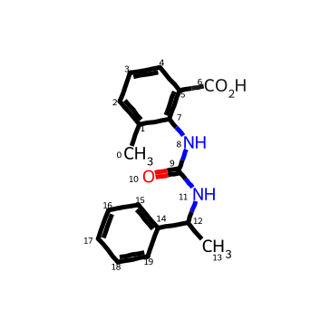 Cc1cccc(C(=O)O)c1NC(=O)NC(C)c1ccccc1